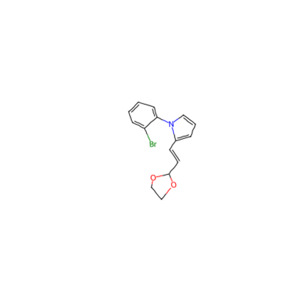 Brc1ccccc1-n1cccc1/C=C/C1OCCO1